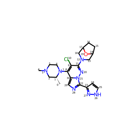 C[C@@H]1CN(C)CCN1c1c(Cl)c(N2CC3CCC(C2)O3)nn2c(-c3cc[nH]n3)ncc12